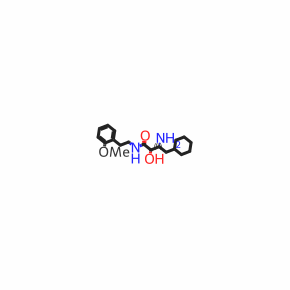 COc1ccccc1CCNC(=O)C(O)[C@H](N)CC1CCCCC1